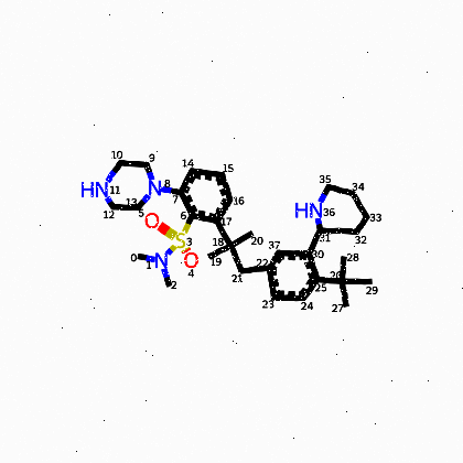 CN(C)S(=O)(=O)c1c(N2CCNCC2)cccc1C(C)(C)Cc1ccc(C(C)(C)C)c(C2CCCCN2)c1